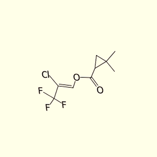 CC1(C)CC1C(=O)OC=C(Cl)C(F)(F)F